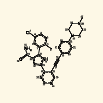 Cc1ccc(Cl)cc1-c1[nH]c(-c2ncncc2C#Cc2ccc(N3CCN(C)CC3)cc2)cc1C(N)=O